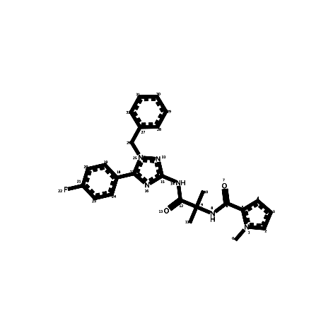 Cn1cccc1C(=O)NC(C)(C)C(=O)Nc1nc(-c2ccc(F)cc2)n(Cc2ccccc2)n1